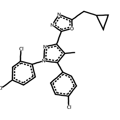 Cc1c(-c2nnc(CC3CC3)o2)nn(-c2ccc(Cl)cc2Cl)c1-c1ccc(Cl)cc1